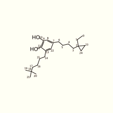 CCC1(CCCCc2cc(O)c(O)c(CCCCC(C)(C)C)c2)CC1